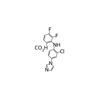 O=C(O)c1ccc(F)c(F)c1Nc1ccc(-n2ccnc2)cc1Cl